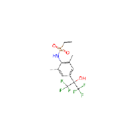 CCS(=O)(=O)Nc1c(C)cc(C(O)(C(F)(F)F)C(F)(F)F)cc1C